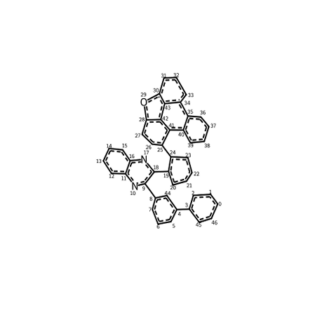 c1ccc(-c2cccc(-c3nc4ccccc4nc3-c3ccccc3-c3ccc4oc5cccc6c7ccccc7c3c4c56)c2)cc1